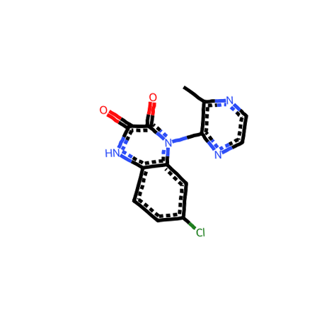 Cc1nccnc1-n1c(=O)c(=O)[nH]c2ccc(Cl)cc21